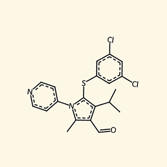 Cc1c(C=O)c(C(C)C)c(Sc2cc(Cl)cc(Cl)c2)n1-c1ccncc1